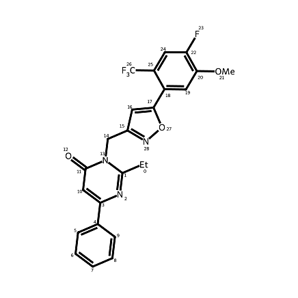 CCc1nc(-c2ccccc2)cc(=O)n1Cc1cc(-c2cc(OC)c(F)cc2C(F)(F)F)on1